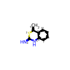 C=C1SC(=N)Nc2ccccc21